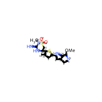 COc1nccc2cc(-c3cc4c(s3)[C@]3(C4)CS(=O)(=O)N(C)C(=N)N3)[nH]c12